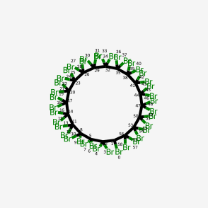 BrC1C(Br)(Br)C(Br)(Br)C(Br)(Br)C(Br)(Br)C(Br)(Br)C(Br)(Br)C(Br)(Br)C(Br)(Br)C(Br)(Br)C(Br)(Br)C(Br)(Br)C(Br)(Br)C(Br)(Br)C(Br)(Br)C(Br)(Br)C(Br)(Br)C(Br)(Br)C(Br)(Br)C1(Br)Br